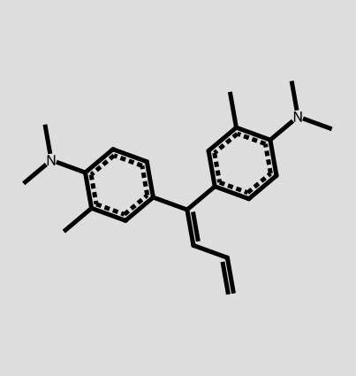 C=CC=C(c1ccc(N(C)C)c(C)c1)c1ccc(N(C)C)c(C)c1